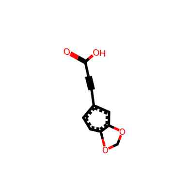 O=C(O)C#Cc1ccc2c(c1)OCO2